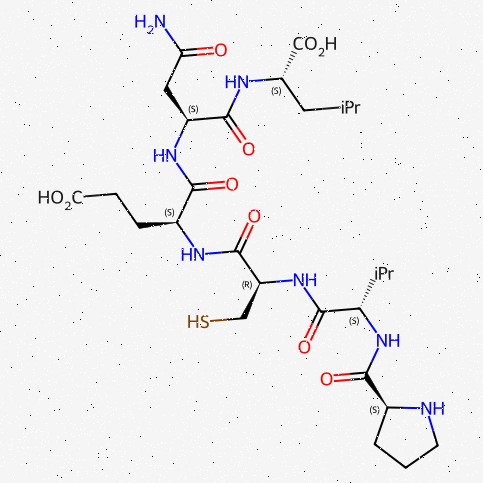 CC(C)C[C@H](NC(=O)[C@H](CC(N)=O)NC(=O)[C@H](CCC(=O)O)NC(=O)[C@H](CS)NC(=O)[C@@H](NC(=O)[C@@H]1CCCN1)C(C)C)C(=O)O